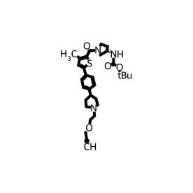 C#CCOCCN1CCC(c2ccc(-c3cc(C)c(C(=O)N4CC[C@H](NC(=O)OC(C)(C)C)C4)s3)cc2)CC1